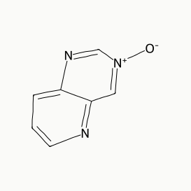 [O-][n+]1cnc2cccnc2c1